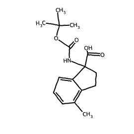 Cc1cccc2c1CCC2(NC(=O)OC(C)(C)C)C(=O)O